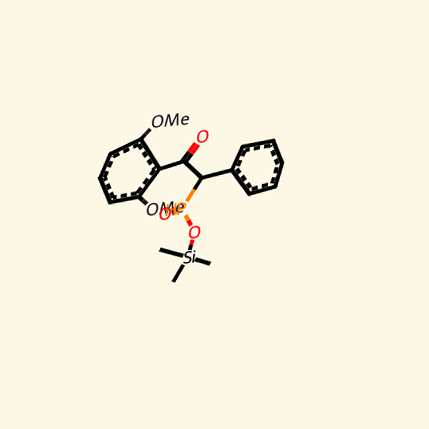 COc1cccc(OC)c1C(=O)C(c1ccccc1)[PH](=O)O[Si](C)(C)C